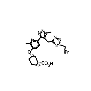 Cc1nc(-c2nnn(C)c2Cc2nnn(CC(C)C)n2)ccc1O[C@H]1CCC[C@H](C(=O)O)C1